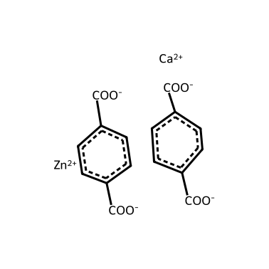 O=C([O-])c1ccc(C(=O)[O-])cc1.O=C([O-])c1ccc(C(=O)[O-])cc1.[Ca+2].[Zn+2]